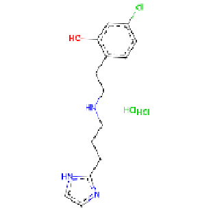 Cl.Cl.Oc1cc(Cl)ccc1CCNCCCc1ncc[nH]1